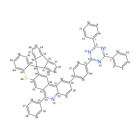 c1ccc(-c2nc(-c3ccccc3)nc(-c3ccc(-c4ccc5nc(-c6ccccc6)c6cc7c(cc6c5c4)C4(c5ccccc5S7)c5ccccc5-c5ccccc54)cc3)n2)cc1